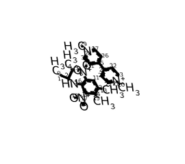 CCC(CC)Nc1c([N+](=O)[O-])cc(C)c(C)c1[N+](=O)[O-].C[n+]1ccc(-c2cc[n+](C)cc2)cc1